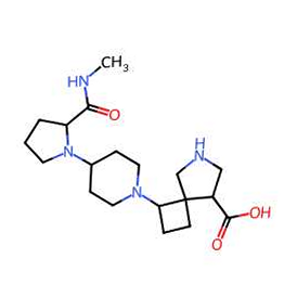 CNC(=O)C1CCCN1C1CCN(C2CCC23CNCC3C(=O)O)CC1